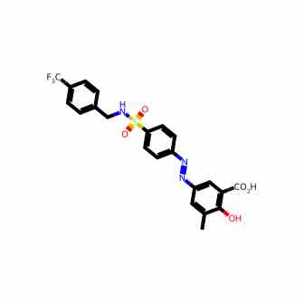 Cc1cc(N=Nc2ccc(S(=O)(=O)NCc3ccc(C(F)(F)F)cc3)cc2)cc(C(=O)O)c1O